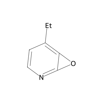 CCc1ccnc2c1O2